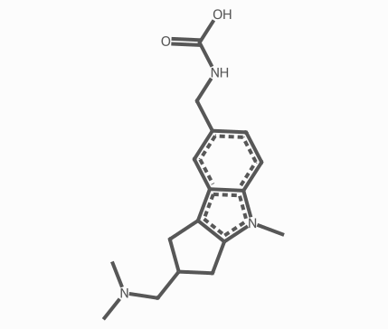 CN(C)CC1Cc2c(n(C)c3ccc(CNC(=O)O)cc23)C1